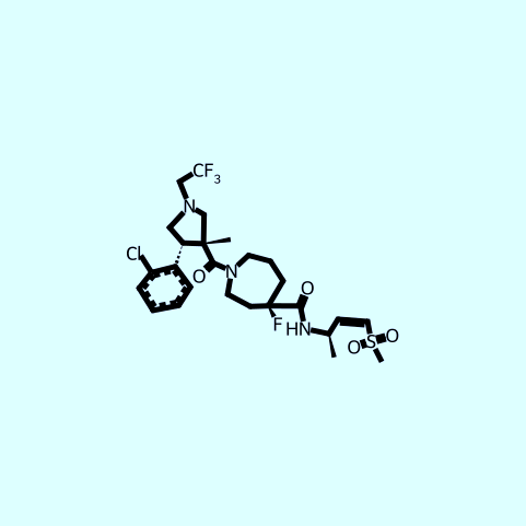 C[C@H](/C=C\S(C)(=O)=O)NC(=O)[C@@]1(F)CCCN(C(=O)[C@@]2(C)CN(CC(F)(F)F)C[C@H]2c2ccccc2Cl)CC1